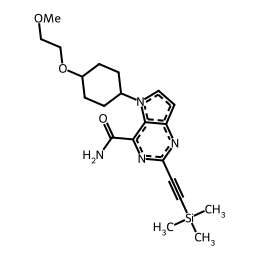 COCCOC1CCC(n2ccc3nc(C#C[Si](C)(C)C)nc(C(N)=O)c32)CC1